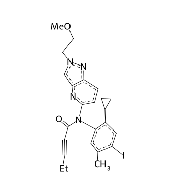 CCC#CC(=O)N(c1ccc2nn(CCOC)cc2n1)c1cc(C)c(I)cc1C1CC1